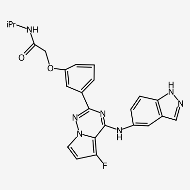 CC(C)NC(=O)COc1cccc(-c2nc(Nc3ccc4[nH]ncc4c3)c3c(F)ccn3n2)c1